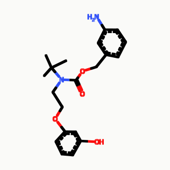 CC(C)(C)N(CCOc1cccc(O)c1)C(=O)OCc1cccc(N)c1